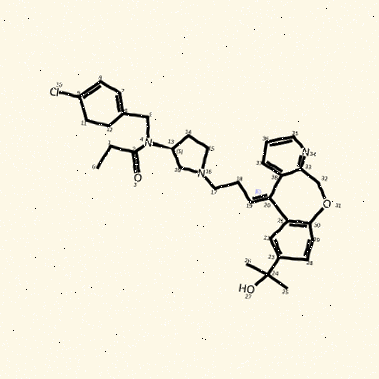 CCC(=O)N(CC1=CC=C(Cl)CC1)[C@H]1CCN(CC/C=C2/c3cc(C(C)(C)O)ccc3OCc3ncccc32)C1